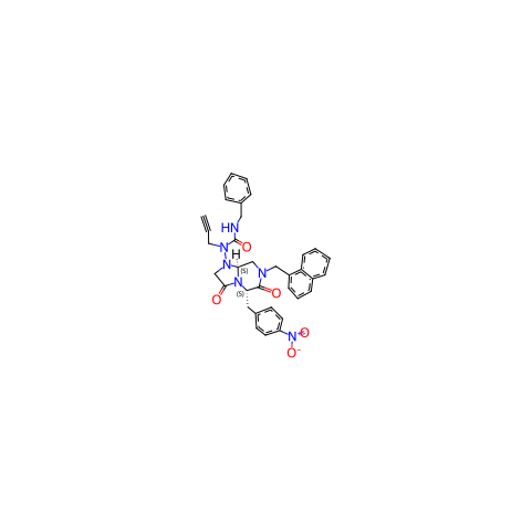 C#CCN(C(=O)NCc1ccccc1)N1CC(=O)N2[C@@H](Cc3ccc([N+](=O)[O-])cc3)C(=O)N(Cc3cccc4ccccc34)C[C@@H]21